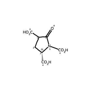 O=C(O)C1C[C@@H](C(=O)O)N(C(=O)O)C1=O